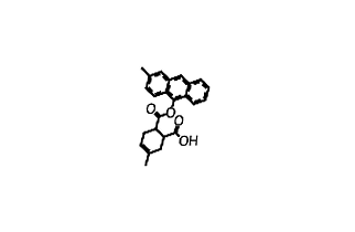 CC1=CCC(C(=O)Oc2c3ccccc3cc3cc(C)ccc23)C(C(=O)O)C1